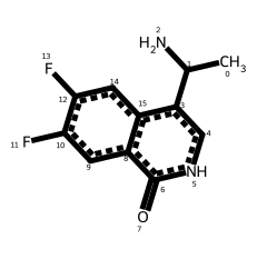 CC(N)c1c[nH]c(=O)c2cc(F)c(F)cc12